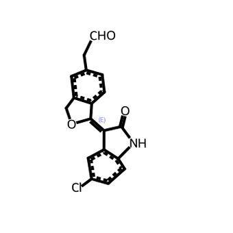 O=CCc1ccc2c(c1)CO/C2=C1/C(=O)Nc2ccc(Cl)cc21